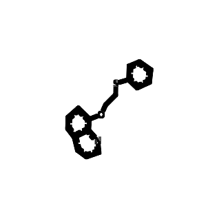 c1ccc(SCCOc2cccc3cccnc23)cc1